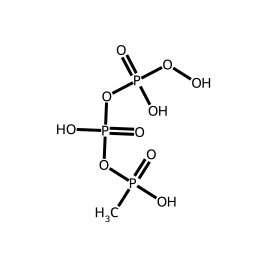 CP(=O)(O)OP(=O)(O)OP(=O)(O)OO